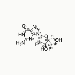 Nc1nc2c(ncn2[C@@H]2O[C@@](CO)(C(F)F)[C@@H](O)[C@H]2F)c(=O)[nH]1